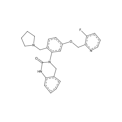 O=C1Nc2ccccc2CN1c1cc(OCc2ncccc2F)ccc1CN1CCCC1